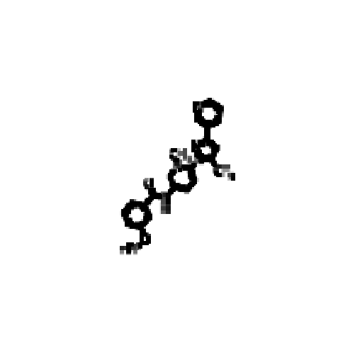 CCCOc1cccc(C(=O)NC2=CC=C(n3nc(-c4cccnc4)cc3C(F)(F)F)N(C)C2)c1